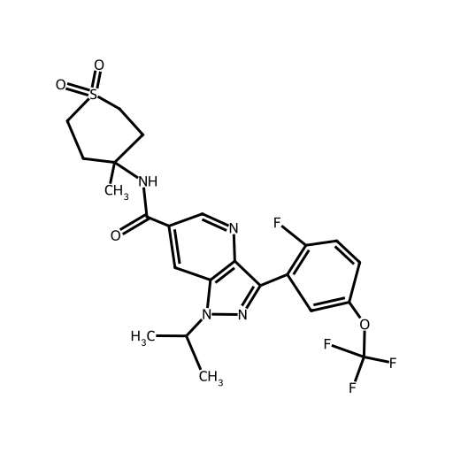 CC(C)n1nc(-c2cc(OC(F)(F)F)ccc2F)c2ncc(C(=O)NC3(C)CCS(=O)(=O)CC3)cc21